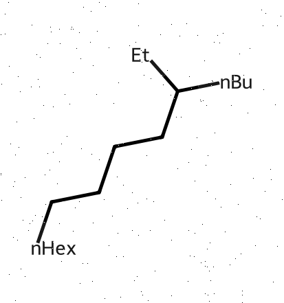 [CH2]CCCC(CC)CCCCCCCCCC